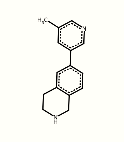 Cc1cncc(-c2ccc3c(c2)CCNC3)c1